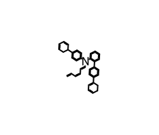 C=C/C=C\C=C\N(c1ccc(C2C=CC=CC2)cc1)c1ccccc1-c1ccc(C2=CC=CCC2)cc1